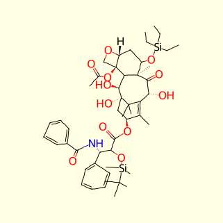 CC[Si](CC)(CC)OC1C[C@H]2OC[C@@]2(OC(C)=O)C2[C@H](O)[C@]3(O)C[C@H](OC(=O)C(O[Si](C)(C)C(C)(C)C)[C@@H](NC(=O)c4ccccc4)c4ccccc4)C(C)=C([C@@H](O)C(=O)[C@]12C)C3(C)C